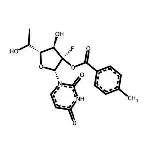 Cc1ccc(C(=O)O[C@]2(F)[C@H](O)[C@@H](C(O)I)O[C@H]2n2ccc(=O)[nH]c2=O)cc1